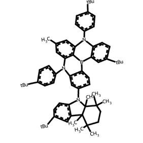 Cc1cc2c3c(c1)N(c1ccc(C(C)(C)C)cc1)c1cc(N4c5ccc(C(C)(C)C)cc5C5(C)C(C)(C)CCC(C)(C)C45C)ccc1B3c1cc(C(C)(C)C)ccc1N2c1ccc(C(C)(C)C)cc1